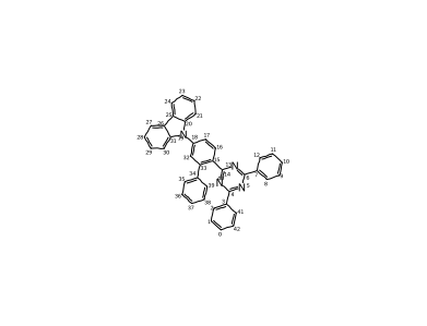 c1ccc(-c2nc(-c3ccccc3)nc(-c3ccc(-n4c5ccccc5c5ccccc54)cc3-c3ccccc3)n2)cc1